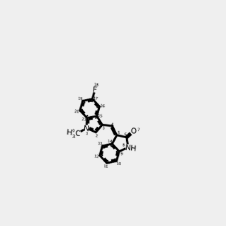 Cn1cc(/C=C2/C(=O)Nc3ccccc32)c2cc(F)ccc21